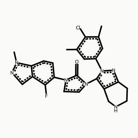 Cc1cc(-n2nc3c(c2-n2ccn(-c4ccc5c(cnn5C)c4F)c2=O)CNCC3)cc(C)c1Cl